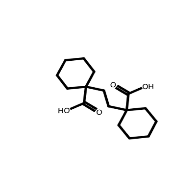 O=C(O)C1(CCC2(C(=O)O)CCCCC2)CCCCC1